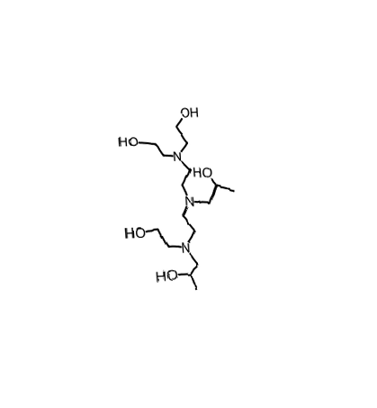 CC(O)CN(CCO)CCN(CCN(CCO)CCO)CC(C)O